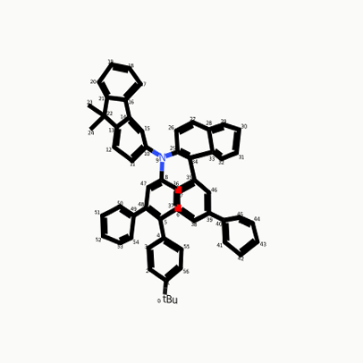 CC(C)(C)c1ccc(-c2ccc(N(c3ccc4c(c3)-c3ccccc3C4(C)C)c3ccc4ccccc4c3-c3cccc(-c4ccccc4)c3)cc2-c2ccccc2)cc1